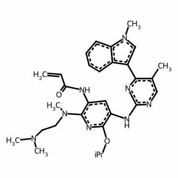 C=CC(=O)Nc1cc(Nc2ncc(C)c(-c3cn(C)c4ccccc34)n2)c(OC(C)C)nc1N(C)CCN(C)C